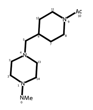 CNN1CCN(CC2CCN(C(C)=O)CC2)CC1